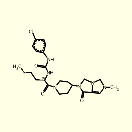 CSCC[C@@H](NC(=O)Nc1ccc(Cl)cc1)C(=O)N1CCC(N2CN3CN(C)C=C3C2=O)CC1